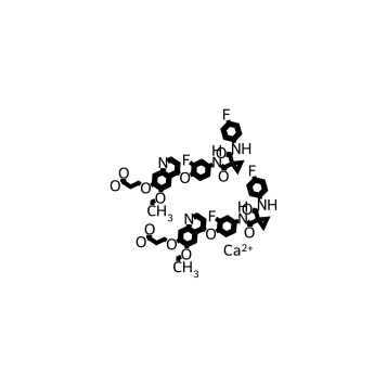 CCOc1cc2c(Oc3ccc(NC(=O)C4(C(=O)Nc5ccc(F)cc5)CC4)cc3F)ccnc2cc1OCCC(=O)[O-].CCOc1cc2c(Oc3ccc(NC(=O)C4(C(=O)Nc5ccc(F)cc5)CC4)cc3F)ccnc2cc1OCCC(=O)[O-].[Ca+2]